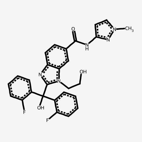 Cn1ccc(NC(=O)c2ccc3nc(C(O)(c4ccccc4F)c4ccccc4F)n(CCO)c3c2)n1